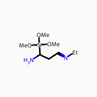 CCN=CCC(N)[Si](OC)(OC)OC